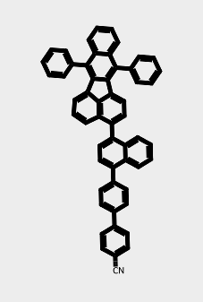 N#Cc1ccc(-c2ccc(-c3ccc(-c4ccc5c6c(cccc46)-c4c-5c(-c5ccccc5)c5ccccc5c4-c4ccccc4)c4ccccc34)cc2)cc1